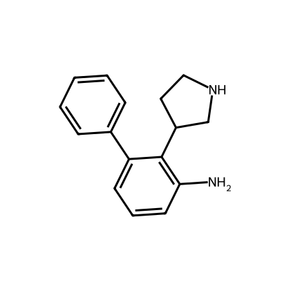 Nc1cccc(-c2ccccc2)c1C1CCNC1